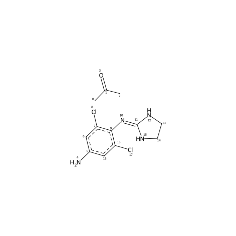 CC(C)=O.Nc1cc(Cl)c(N=C2NCCN2)c(Cl)c1